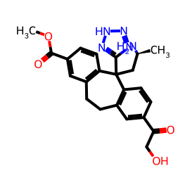 COC(=O)c1ccc2c(c1)CCc1cc(C(=O)CO)ccc1C2(C[C@H](C)N)c1nn[nH]n1